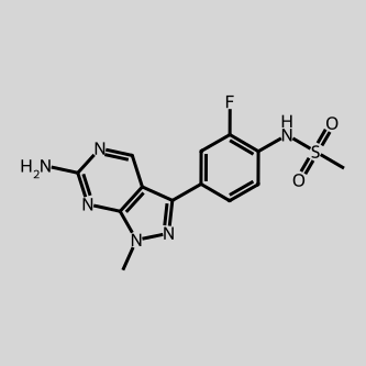 Cn1nc(-c2ccc(NS(C)(=O)=O)c(F)c2)c2cnc(N)nc21